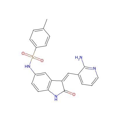 Cc1ccc(S(=O)(=O)Nc2ccc3c(c2)C(=Cc2cccnc2N)C(=O)N3)cc1